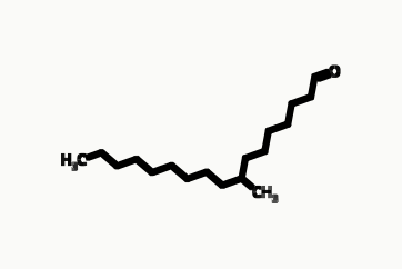 CCCCCCCCCC(C)CCCCCCC=O